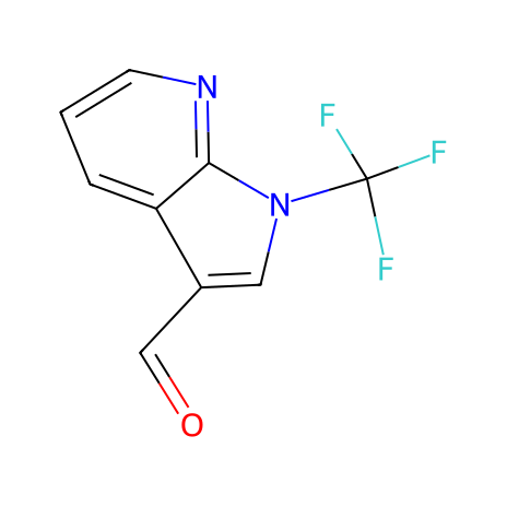 O=Cc1cn(C(F)(F)F)c2ncccc12